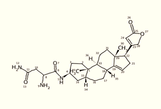 C[C@]12CC[C@H](NC(=O)C(N)CC(N)=O)C[C@H]1CC[C@H]1C3=CC[C@H](C4=CC(=O)OC4)[C@@]3(C)CC[C@@H]12